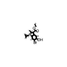 CCOC(=O)c1c(C)n(C2CC2)c2cc(Br)c(O)cc12